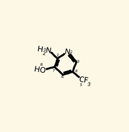 Nc1ncc(C(F)(F)F)cc1O